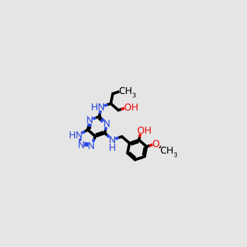 CCC(CO)Nc1nc(NCc2cccc(OC)c2O)c2nn[nH]c2n1